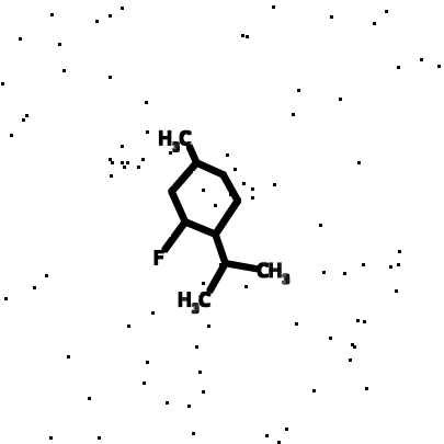 CC1CCC(C(C)C)C(F)C1